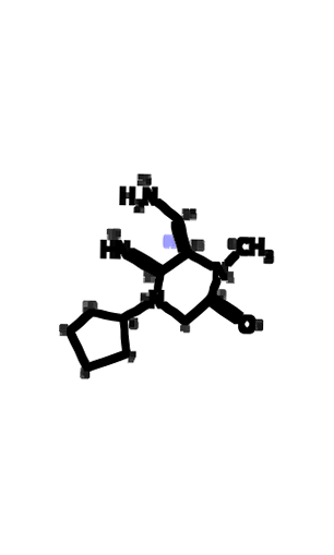 CN1C(=O)CN(C2CCCC2)C(=N)/C1=C\N